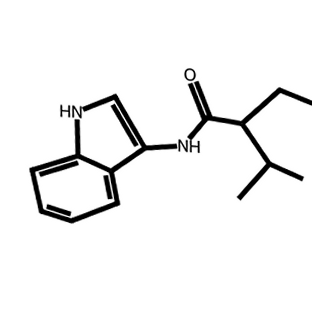 CCC(C(=O)Nc1c[nH]c2ccccc12)C(C)C